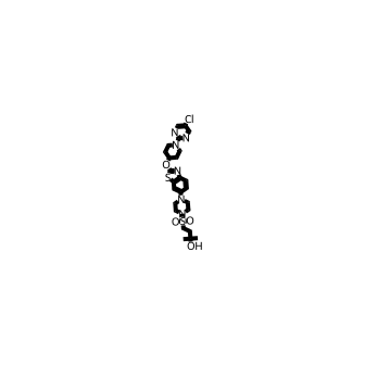 CC(C)(O)CCS(=O)(=O)N1CCN(c2ccc3nc(OC4CCN(c5ncc(Cl)cn5)CC4)sc3c2)CC1